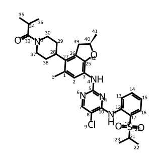 Cc1cc(Nc2ncc(Cl)c(Nc3ccccc3S(=O)(=O)C(C)C)n2)c2c(c1C1CCN(C(=O)C(C)C)CC1)C[C@@H](C)O2